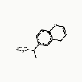 CC(C(=O)O)c1ccc2c(c1)CC=CO2